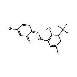 CC1=CC(N/N=C2/C=CC(Cl)=CC2=N)=C(O)C(C(C)(C)C)C1